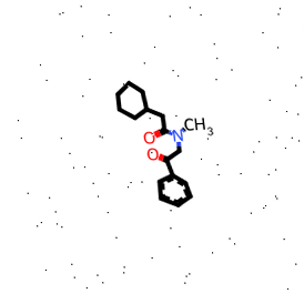 CN(CC(=O)c1ccccc1)C(=O)CC1CCCCC1